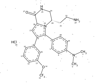 CN(C)c1ccc(-c2c(-c3cccc(OC(F)(F)F)c3)cc3n2[C@@H](CCN)CNC3=O)cc1.Cl